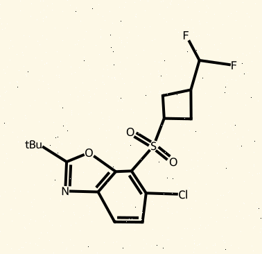 CC(C)(C)c1nc2ccc(Cl)c(S(=O)(=O)C3CC(C(F)F)C3)c2o1